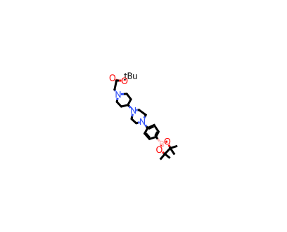 CC(C)(C)OC(=O)CN1CCC(N2CCN(c3ccc(B4OC(C)(C)C(C)(C)O4)cc3)CC2)CC1